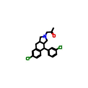 CC(=O)CN1CC2Cc3cc(Cl)ccc3C(c3cccc(Cl)c3)C2C1